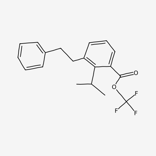 CC(C)c1c(CCc2ccccc2)cccc1C(=O)OC(F)(F)F